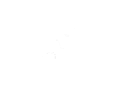 O=S(=O)(O)c1ccc(NNCl)cc1